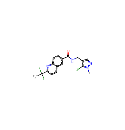 Cn1ncc(CNC(=O)c2ccc3nc(C(F)(F)C(F)(F)F)ccc3c2)c1Cl